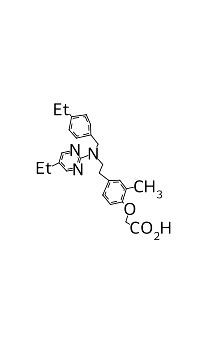 CCc1ccc(CN(CCc2ccc(OCC(=O)O)c(C)c2)c2ncc(CC)cn2)cc1